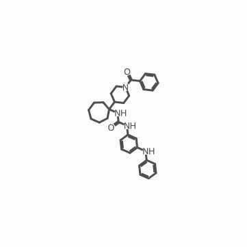 O=C(Nc1cccc(Nc2ccccc2)c1)NC1(C2CCN(C(=O)c3ccccc3)CC2)CCCCCC1